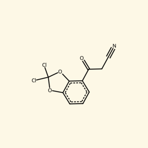 N#CCC(=O)c1cccc2c1OC(Cl)(Cl)O2